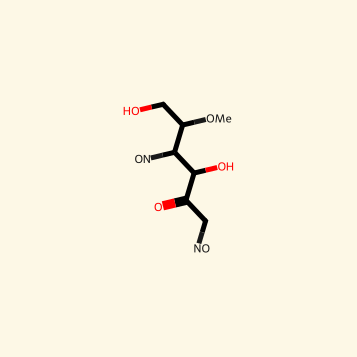 COC(CO)C(N=O)C(O)C(=O)CN=O